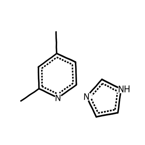 Cc1ccnc(C)c1.c1c[nH]cn1